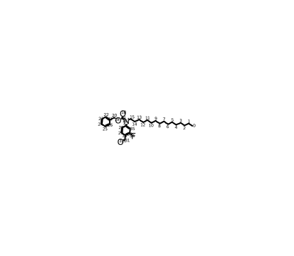 CCCCCCCCCCCCCCCCN(C(=O)OCc1ccccc1)c1ccc([C]=O)c(F)c1